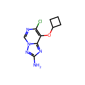 Nc1nc2c(OC3CCC3)c(Cl)ncn2n1